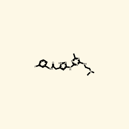 Cc1nc(NCCN(C)C)nc(Nc2cc(CC(=O)Nc3cccc(F)c3)[nH]n2)n1